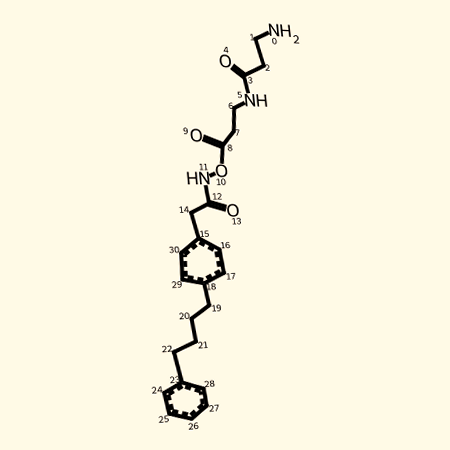 NCCC(=O)NCCC(=O)ONC(=O)Cc1ccc(CCCCc2ccccc2)cc1